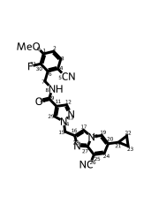 COc1ccc(C#N)c(CNC(=O)c2cnn(Cc3cn4cc(C5CC5)cc(C#N)c4n3)c2)c1F